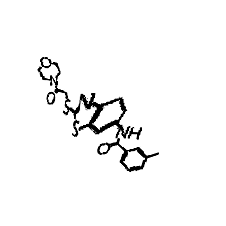 Cc1cccc(C(=O)Nc2ccc3nc(SCC(=O)N4CCOCC4)sc3c2)c1